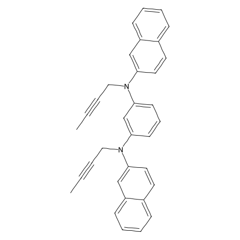 CC#CCN(c1cccc(N(CC#CC)c2ccc3ccccc3c2)c1)c1ccc2ccccc2c1